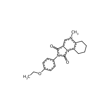 CCOc1ccc(-n2c(=O)c3cn(C)c4c(n-3c2=O)CCCC4)cc1